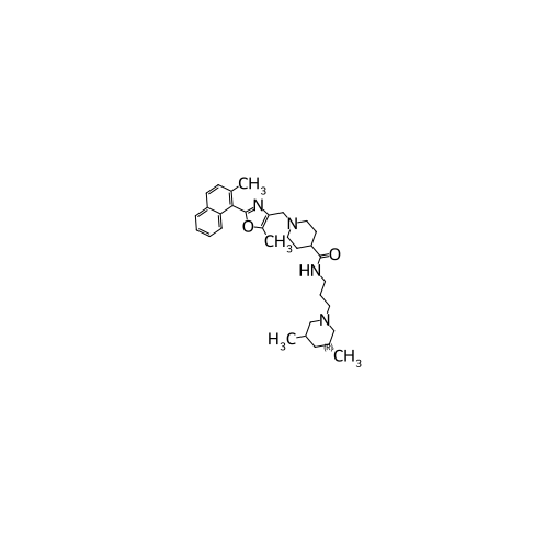 Cc1ccc2ccccc2c1-c1nc(CN2CCC(C(=O)NCCCN3CC(C)C[C@@H](C)C3)CC2)c(C)o1